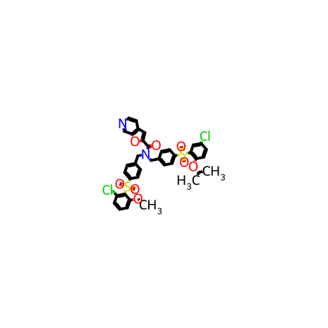 COc1cccc(Cl)c1S(=O)(=O)c1ccc(CN(Cc2ccc(S(=O)(=O)c3cc(Cl)ccc3OC(C)C)cc2)C(=O)c2cc3ccncc3o2)cc1